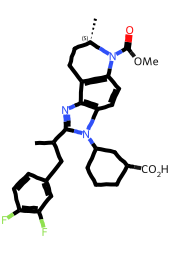 COC(=O)N1c2ccc3c(nc(C(C)Cc4ccc(F)c(F)c4)n3C3CCCC(C(=O)O)C3)c2CC[C@@H]1C